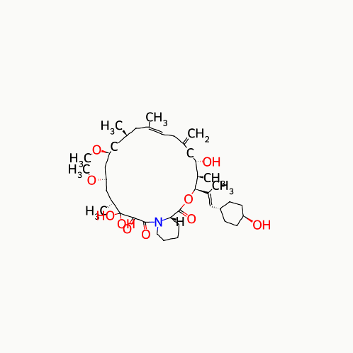 C=C1C/C=C(\C)C[C@H](C)C[C@H](OC)C[C@@H](OC)C[C@@H](C)C(O)(O)C(=O)C(=O)N2CCCC[C@H]2C(=O)O[C@H](/C(C)=C/[C@H]2CC[C@H](O)CC2)[C@H](C)[C@@H](O)C1